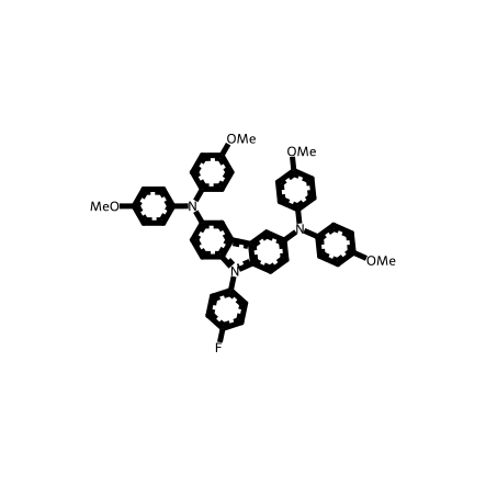 COc1ccc(N(c2ccc(OC)cc2)c2ccc3c(c2)c2cc(N(c4ccc(OC)cc4)c4ccc(OC)cc4)ccc2n3-c2ccc(F)cc2)cc1